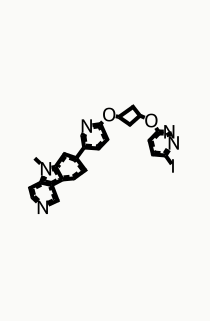 Cn1c2ccncc2c2ccc(-c3ccc(OC4CC(Oc5ccc(I)nn5)C4)nc3)cc21